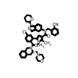 Cc1c(C(=O)N(Cc2ccccc2C#N)c2ccc3c(cnn3C3CCCCO3)c2)cc(-c2cc(Cl)ccc2C(=O)N2Cc3ccccc3C[C@H]2CN2CCOCC2)n1C